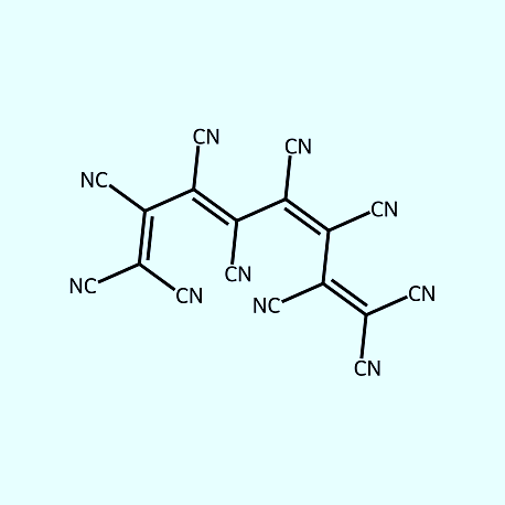 N#CC(C#N)=C(C#N)C(C#N)=C(C#N)C(C#N)=C(C#N)C(C#N)=C(C#N)C#N